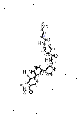 CN(C)C/C=C/C(=O)Nc1ccc(C(=O)NCc2cc(-c3cnc(N)c(-c4ccc(C(=O)N(C)C)cn4)c3)ccn2)cc1